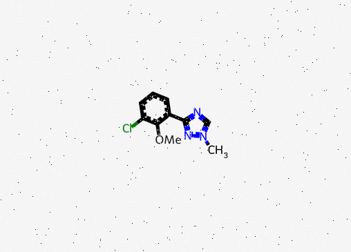 COc1c(Cl)cccc1-c1ncn(C)n1